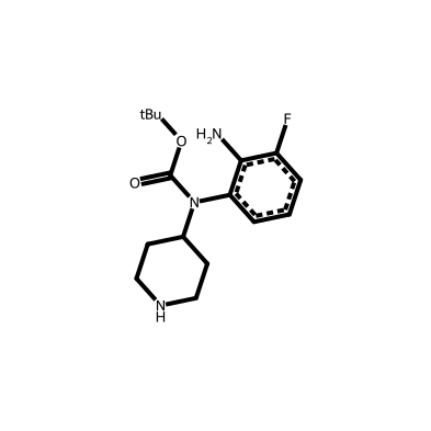 CC(C)(C)OC(=O)N(c1cccc(F)c1N)C1CCNCC1